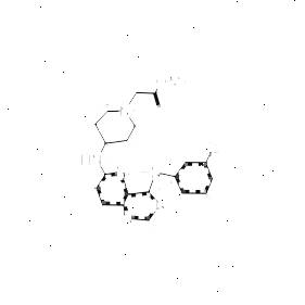 COC(=O)CN1CCC(Nc2ccc3ncnc(Nc4cccc(Br)c4)c3n2)CC1